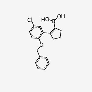 OB(O)C1=C(c2cc(Cl)ccc2OCc2ccccc2)CCC1